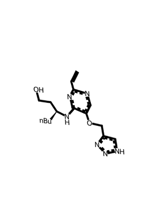 C=Cc1ncc(OCc2c[nH]nn2)c(N[C@H](CCO)CCCC)n1